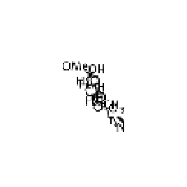 COC[C@@]1(O)CC[C@@]2(C)[C@@H](CC[C@@H]3[C@@H]2CC[C@]2(C)[C@H](C(=O)Cn4ccnc4)CC[C@@H]32)C1